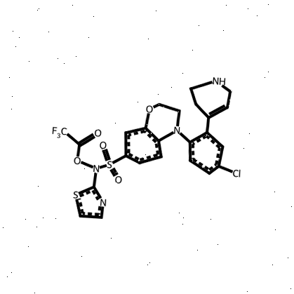 O=C(ON(c1nccs1)S(=O)(=O)c1ccc2c(c1)OCCN2c1ccc(Cl)cc1C1=CCNCC1)C(F)(F)F